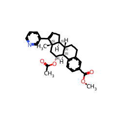 COC(=O)c1ccc2c(c1)CC[C@@H]1[C@@H]2[C@H](OC(C)=O)C[C@]2(C)C(c3cccnc3)=CC[C@@H]12